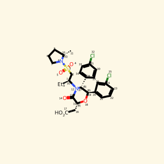 CC[C@@H](CS(=O)(=O)N1CCC[C@@H]1C)N1C(=O)[C@@H](CC(=O)O)O[C@H](c2cccc(Cl)c2)[C@H]1c1ccc(Cl)cc1